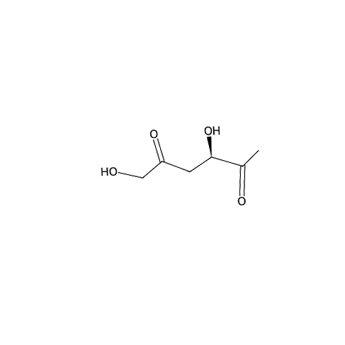 CC(=O)[C@H](O)CC(=O)CO